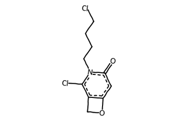 O=c1cc2c(c(Cl)n1CCCCCl)CO2